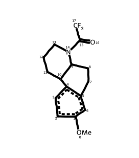 COc1ccc2c(c1)CCC1C2CCCN1C(=O)C(F)(F)F